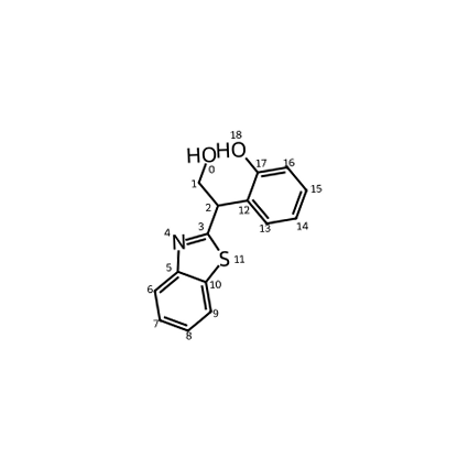 OCC(c1nc2ccccc2s1)c1ccccc1O